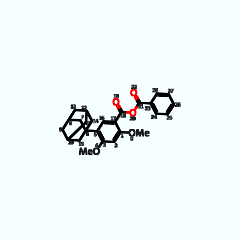 COc1cc(OC)c(C23CC4CC(CC(C4)C2)C3)cc1C(=O)OC(=O)c1ccccc1